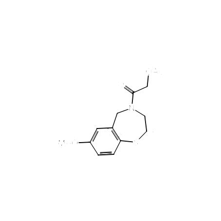 COc1ccc2c(c1)CN(C(=O)COC(C)=O)CCS2